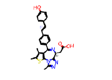 Cc1sc2c(c1C)C(c1ccc(/C=C/c3ccc(O)cc3)cc1)=N[C@@H](CC(=O)O)c1nnc(C)n1-2